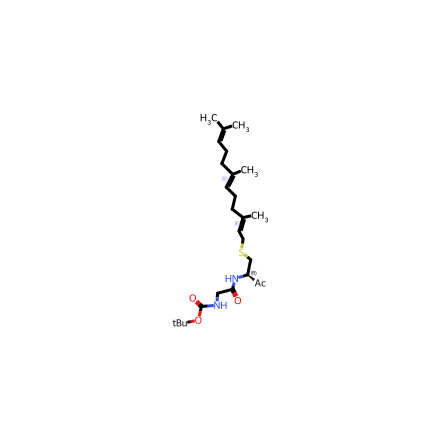 CC(=O)[C@H](CSC/C=C(\C)CC/C=C(\C)CCC=C(C)C)NC(=O)CNC(=O)OC(C)(C)C